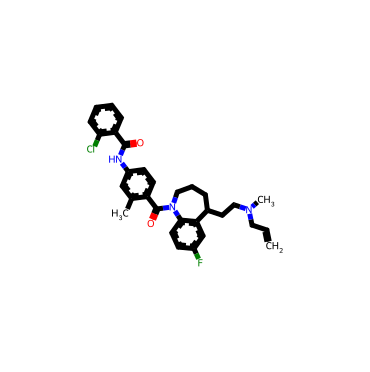 C=CCN(C)CCC1CCCN(C(=O)c2ccc(NC(=O)c3ccccc3Cl)cc2C)c2ccc(F)cc21